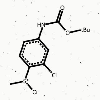 C[S+]([O-])c1ccc(NC(=O)OC(C)(C)C)cc1Cl